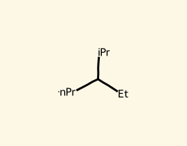 CC[CH]C(CC)C(C)C